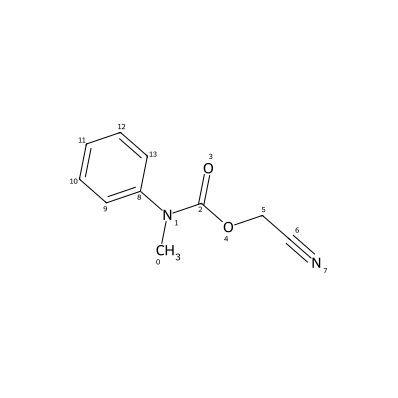 CN(C(=O)OCC#N)c1ccccc1